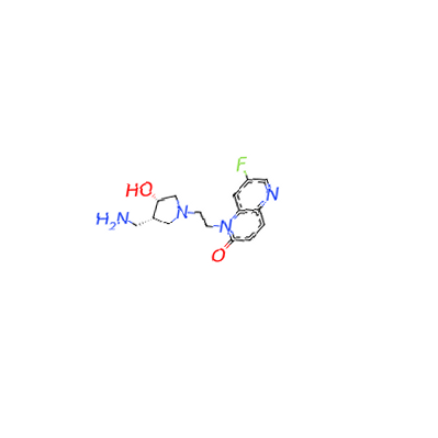 NC[C@H]1CN(CCn2c(=O)ccc3ncc(F)cc32)C[C@H]1O